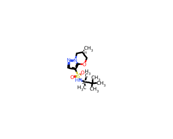 C[C@@H]1COc2c(S(=O)(=O)N[Si](C)(C)C(C)(C)C)cnn2C1